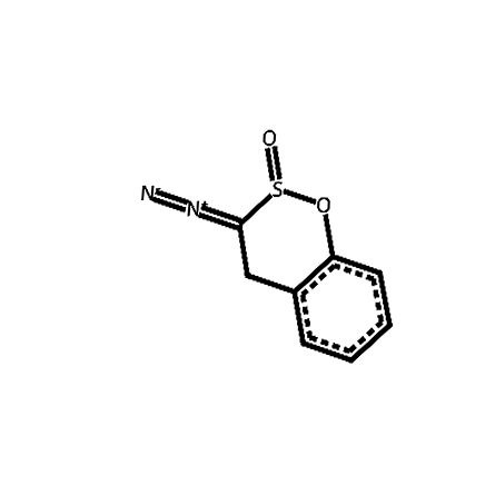 [N-]=[N+]=C1Cc2ccccc2OS1=O